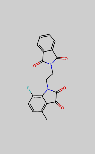 Cc1ccc(F)c2c1C(=O)C(=O)N2CCN1C(=O)c2ccccc2C1=O